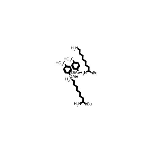 CCCCC(N)CCCCCCCN.CCCCC(N)CCCCCCCN.COc1ccc(C(=O)O)cc1.COc1ccc(C(=O)O)cc1